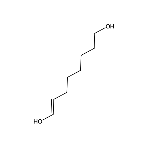 OC=CCCCCCCO